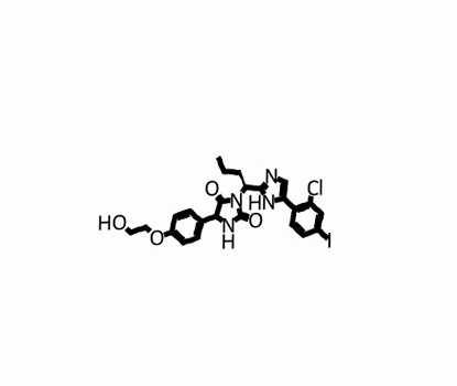 CCC[C@@H](c1ncc(-c2ccc(I)cc2Cl)[nH]1)N1C(=O)NC(c2ccc(OCCO)cc2)C1=O